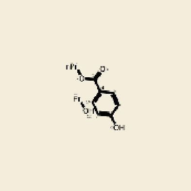 CCCOC(=O)c1ccc(O)cc1.CCO